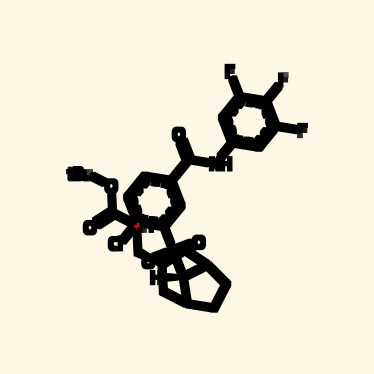 CC(C)(C)OC(=O)NC[C@H]1CC2CCC(C1)[C@@H]2S(=O)(=O)c1cc(C(=O)Nc2cc(F)c(F)c(F)c2)ccc1Cl